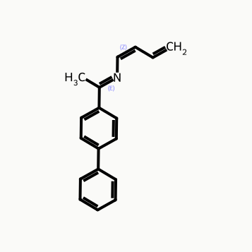 C=C/C=C\N=C(/C)c1ccc(-c2ccccc2)cc1